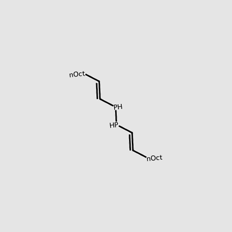 CCCCCCCCC=CPPC=CCCCCCCCC